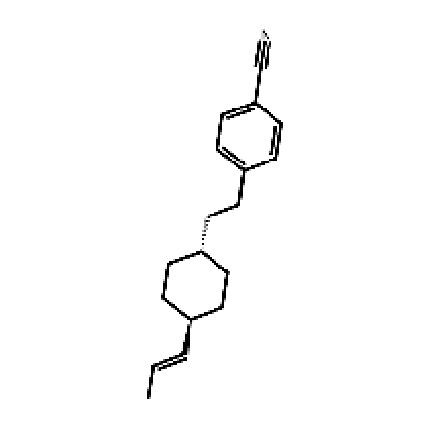 C/C=C/[C@H]1CC[C@H](CCc2ccc(C#N)cc2)CC1